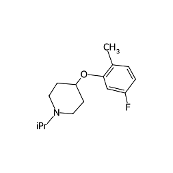 Cc1ccc(F)cc1OC1CCN(C(C)C)CC1